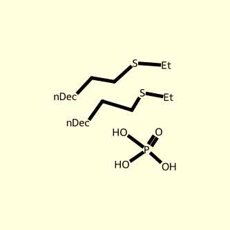 CCCCCCCCCCCCSCC.CCCCCCCCCCCCSCC.O=P(O)(O)O